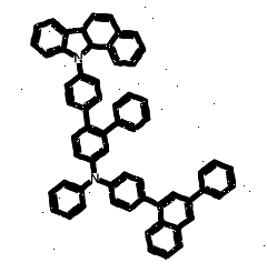 C1=CC2c3ccccc3N(c3ccc(-c4ccc(N(c5ccccc5)c5ccc(-c6cc(-c7ccccc7)cc7ccccc67)cc5)cc4-c4ccccc4)cc3)C2c2ccccc21